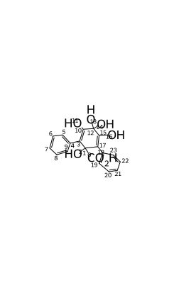 O=C(O)C1(O)C(c2ccccc2)=C(O)C(O)(O)C(O)=C1c1ccccc1